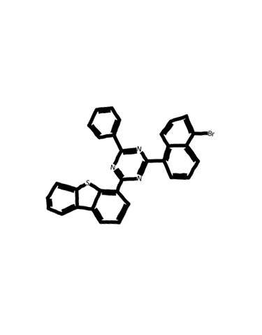 Brc1cccc2c(-c3nc(-c4ccccc4)nc(-c4cccc5c4sc4ccccc45)n3)cccc12